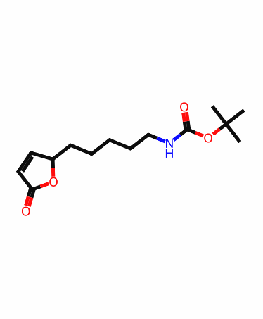 CC(C)(C)OC(=O)NCCCCCC1C=CC(=O)O1